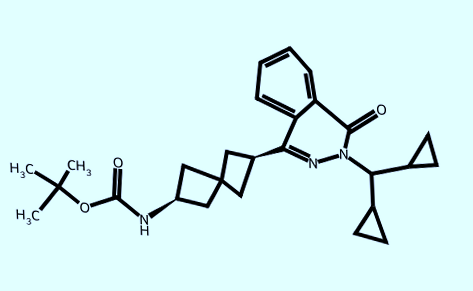 CC(C)(C)OC(=O)N[C@H]1CC2(C1)C[C@H](c1nn(C(C3CC3)C3CC3)c(=O)c3ccccc31)C2